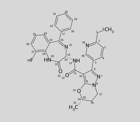 CCc1ccc(-c2nn3c(c2C(=O)N[C@H]2N=C(c4ccccc4)c4cccc(F)c4NC2=O)O[C@@H](C)CC3)cn1